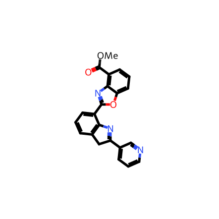 COC(=O)c1cccc2oc(-c3cccc4c3N=C(c3cccnc3)C4)nc12